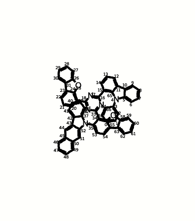 c1ccc(-n2c3ccccc3c3cccc(-c4nc(-c5cccc6c5oc5ccccc56)nc(-c5c(-n6c7ccccc7c7cc8ccccc8cc76)ccc6c5oc5ccccc56)n4)c32)cc1